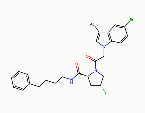 CC(=O)c1cn(CC(=O)N2C[C@H](F)C[C@H]2C(=O)NCCCCc2ccccc2)c2ccc(Br)cc12